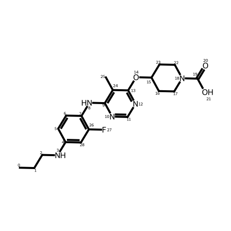 CCCNc1ccc(Nc2ncnc(OC3CCN(C(=O)O)CC3)c2C)c(F)c1